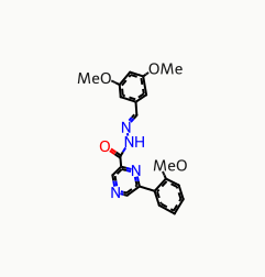 COc1cc(C=NNC(=O)c2cncc(-c3ccccc3OC)n2)cc(OC)c1